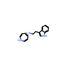 C1=CC=CNC=C1.NCCc1c[nH]c2ccccc12